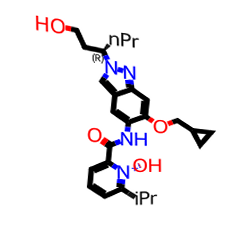 CCC[C@H](CCO)n1cc2cc(NC(=O)c3cccc(C(C)C)[n+]3O)c(OCC3CC3)cc2n1